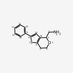 NCC1OCCc2sc(-c3ccccc3)cc21